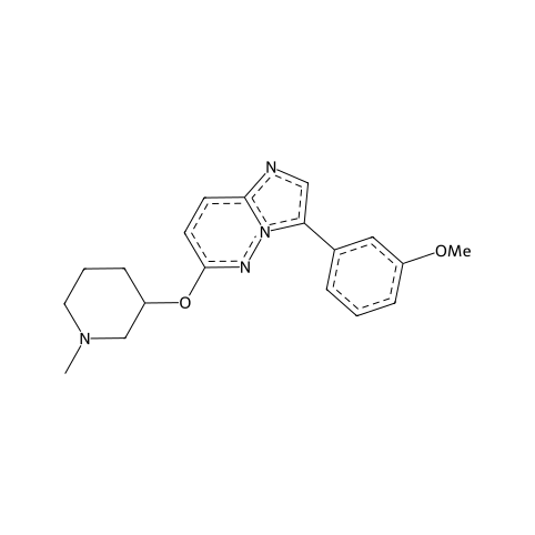 COc1cccc(-c2cnc3ccc(OC4CCCN(C)C4)nn23)c1